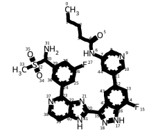 CCCCC(=O)Nc1cncc(-c2cc(F)c3[nH]nc(-c4nc5c(-c6cc(F)cc(C(N)S(C)(=O)=O)c6)nccc5[nH]4)c3c2)c1